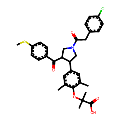 CSc1ccc(C(=O)C2CN(C(=O)Cc3ccc(Cl)cc3)CC2c2cc(C)c(OC(C)(C)C(=O)O)c(C)c2)cc1